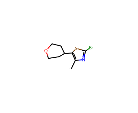 [CH2]c1nc(Br)sc1C1CCOCC1